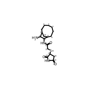 NC1C2CCCCCCC(C2)C1NC(=O)CSC1CC(=O)NC1=O